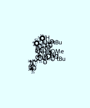 COC(=O)C1(NC(=O)OC(C)(C)C)CCN(C(=O)[C@@H](CCCCN(C)[C@H]2COC(C)(C)O2)NC(=O)[C@@H](CC(C)C)NC(=O)[C@@H](Cc2ccccc2)NC(=O)[C@@H](Cc2ccccc2)NC(=O)OC(C)(C)C)CC1